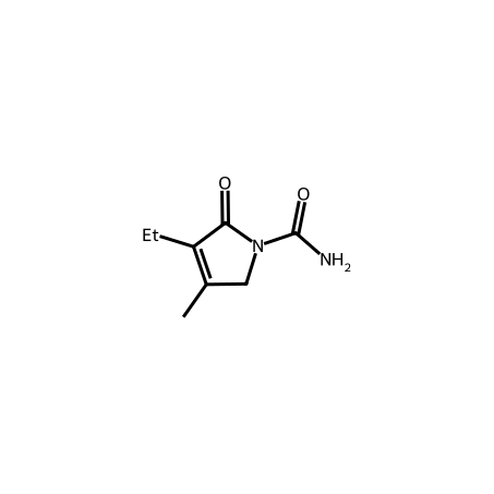 CCC1=C(C)CN(C(N)=O)C1=O